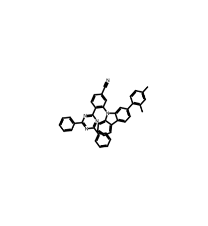 Cc1ccc(-c2ccc3c4ccccc4n(-c4cc(C#N)ccc4-c4nc(-c5ccccc5)nc(-c5ccccc5)n4)c3c2)c(C)c1